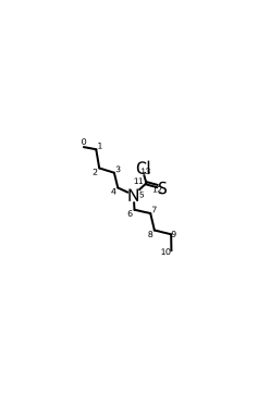 CCCCCN(CCCCC)C(=S)Cl